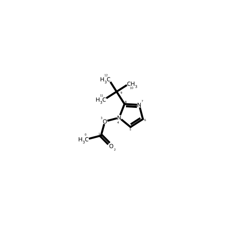 CC(=O)On1ccnc1C(C)(C)C